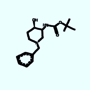 CC(C)(C)OC(=O)NC1CN(Cc2ccccc2)CC[C@H]1O